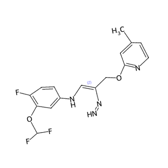 Cc1ccnc(OC/C(=C/Nc2ccc(F)c(OC(F)F)c2)N=N)c1